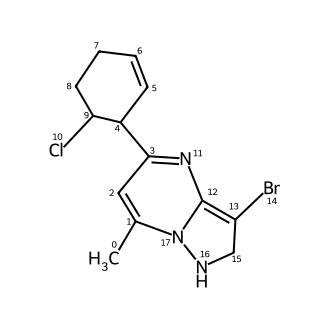 CC1=CC(C2C=CCCC2Cl)=NC2=C(Br)CNN12